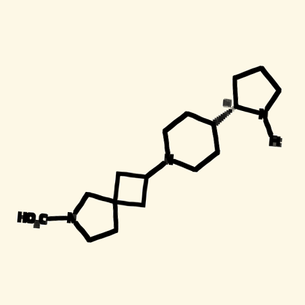 CCN1CCC[C@H]1C1CCN(C2CC3(CCN(C(=O)O)C3)C2)CC1